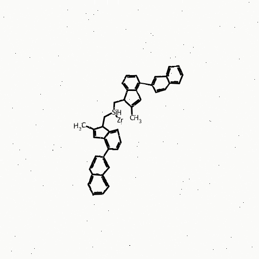 CC1=Cc2c(-c3ccc4ccccc4c3)cccc2C1C[SiH]([Zr])CC1C(C)=Cc2c(-c3ccc4ccccc4c3)cccc21